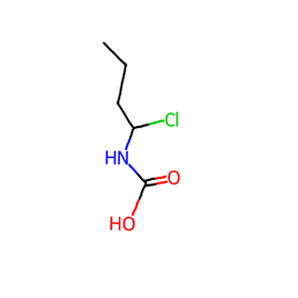 CCCC(Cl)NC(=O)O